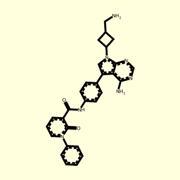 NCC1CC(n2cc(-c3ccc(NC(=O)c4cccn(-c5ccccc5)c4=O)cc3)c3c(N)ncnc32)C1